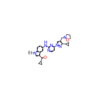 CCn1cc(C(=O)C2CC2)c2cc(Nc3nccc(-n4cc(CN5CCCO5)c(C5CC5)n4)n3)ccc21